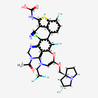 CC(=O)N1CN=c2c(Cl)c(-c3ccc(F)c4sc(NC(=O)O)c(C#N)c34)c(F)c3c2=C1N(CC(F)F)C=C(OC[C@@]12CCCN1C[C@H](F)C2)O3